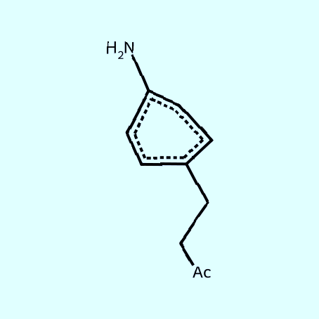 CC(=O)CCc1ccc(N)cc1